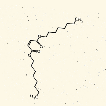 CCCCCCCCOC(=O)/C=C\C(=O)OCCCCCCCC